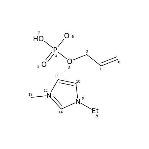 C=CCOP(=O)([O-])O.CCn1cc[n+](C)c1